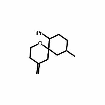 C=C1CCOC2(C1)CC(C)CCC2C(C)C